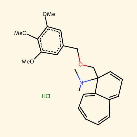 COc1cc(COCC2(N(C)C)C=CC=C3C=CC=CC=C32)cc(OC)c1OC.Cl